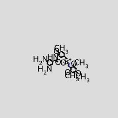 COc1cc(OC)c(/C=C/[S+]([O-])Cc2ccc(OC)c(NC(=O)c3cc(N)cc(N)c3)c2)c(OC)c1